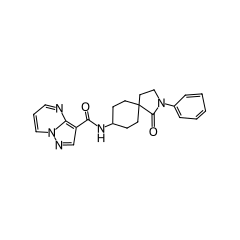 O=C(NC1CCC2(CC1)CCN(c1ccccc1)C2=O)c1cnn2cccnc12